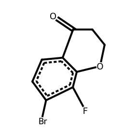 O=C1CCOc2c1ccc(Br)c2F